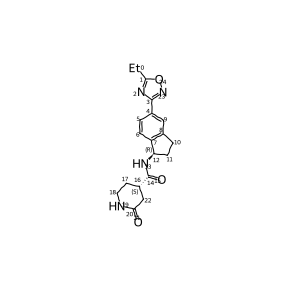 CCc1nc(-c2ccc3c(c2)CC[C@H]3NC(=O)[C@H]2CCNC(=O)C2)no1